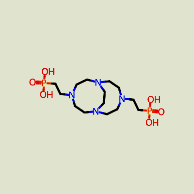 O=P(O)(O)CCN1CCN2CCN(CC1)CCN(CCP(=O)(O)O)CC2